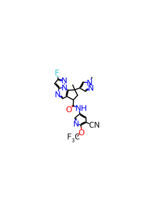 Cn1cc(C2(C)CC(C(=O)Nc3cnc(OC(F)(F)F)c(C#N)c3)c3cnc4cc(F)nn4c32)cn1